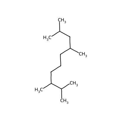 CC(C)CC(C)CCCC(C)C(C)C